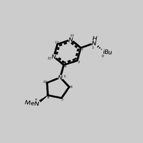 CC[C@@H](C)Nc1cc(N2CC[C@@H](NC)C2)ncn1